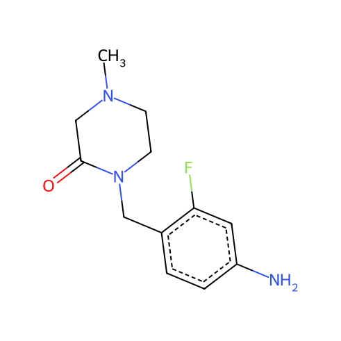 CN1CCN(Cc2ccc(N)cc2F)C(=O)C1